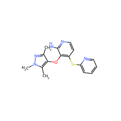 Cc1nn(C)c(C)c1Oc1c(Sc2ccccn2)ccnc1N